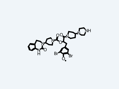 COc1c(Br)cc(CC(OC(=O)N2CCC(N3CCc4ccccc4NC3=O)CC2)C(=O)N2CCC(N3CCNCC3)CC2)cc1Br